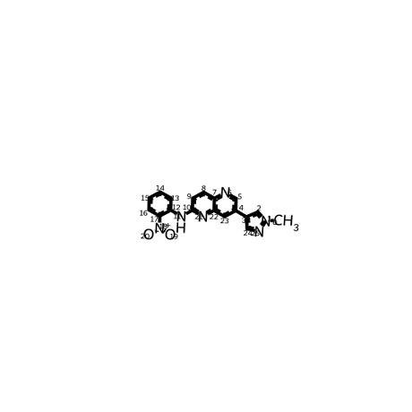 Cn1cc(-c2cnc3ccc(Nc4ccccc4[N+](=O)[O-])nc3c2)cn1